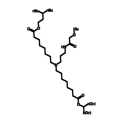 CCCCCCCCC(CCCCCCCC)OC(=O)CCCCCCCN(CCCCCCCC(=O)OCCC(CCCC)CCCC)CCCNC(=O)COC(C)(C)C